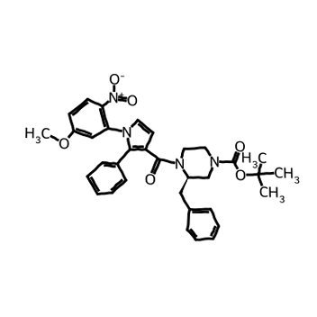 COc1ccc([N+](=O)[O-])c(-n2ccc(C(=O)N3CCN(C(=O)OC(C)(C)C)C[C@H]3Cc3ccccc3)c2-c2ccccc2)c1